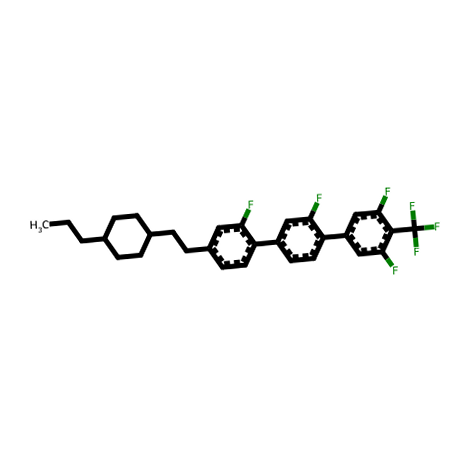 CCCC1CCC(CCc2ccc(-c3ccc(-c4cc(F)c(C(F)(F)F)c(F)c4)c(F)c3)c(F)c2)CC1